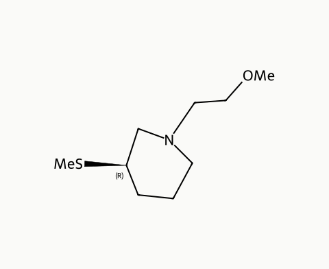 COCCN1CCC[C@@H](SC)C1